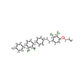 C=CCOc1ccc(CCc2ccc(-c3ccc(-c4ccc(C)cc4)c(F)c3F)cc2)c(F)c1F